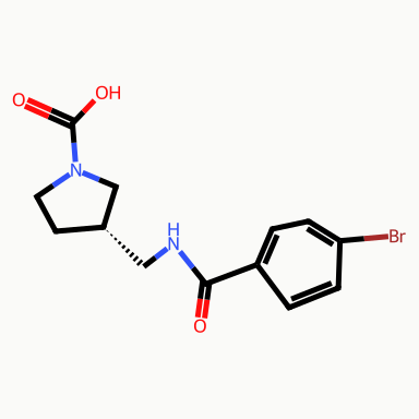 O=C(NC[C@@H]1CCN(C(=O)O)C1)c1ccc(Br)cc1